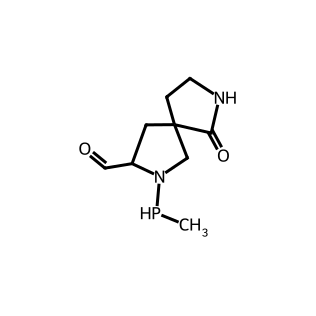 CPN1CC2(CCNC2=O)CC1C=O